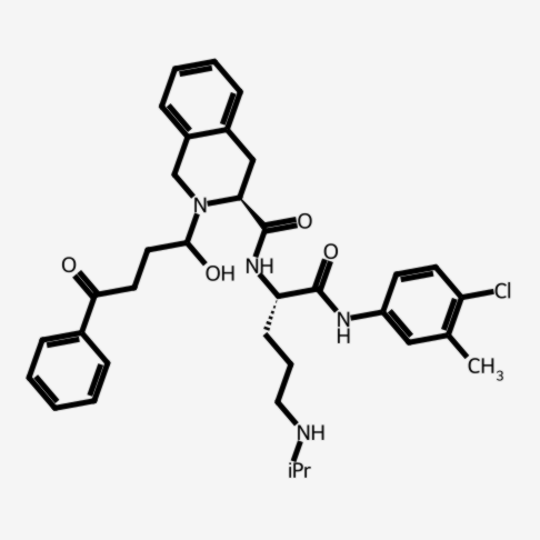 Cc1cc(NC(=O)[C@H](CCCNC(C)C)NC(=O)[C@@H]2Cc3ccccc3CN2C(O)CCC(=O)c2ccccc2)ccc1Cl